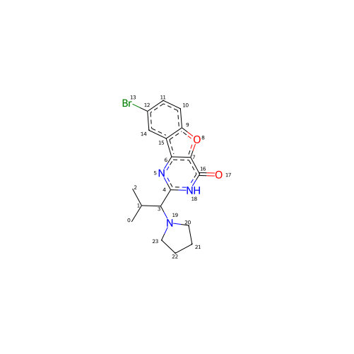 CC(C)C(c1nc2c(oc3ccc(Br)cc32)c(=O)[nH]1)N1CCCC1